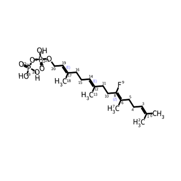 CC(C)=CCC/C(C)=C(\F)CC/C(C)=C/CC/C(C)=C/COP(=O)(O)OP(=O)(O)O